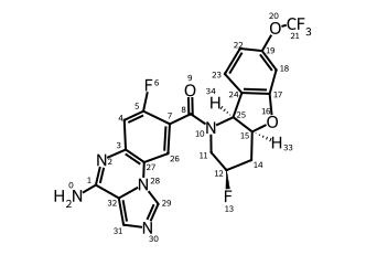 Nc1nc2cc(F)c(C(=O)N3C[C@H](F)C[C@@H]4Oc5cc(OC(F)(F)F)ccc5[C@@H]43)cc2n2cncc12